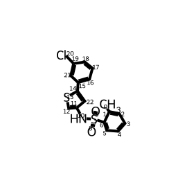 Cc1ccccc1S(=O)(=O)Nc1csc(-c2cccc(Cl)c2)c1